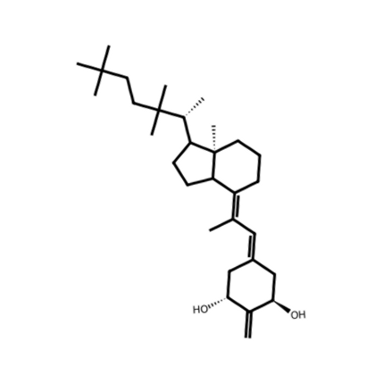 C=C1[C@H](O)CC(=C/C(C)=C2\CCC[C@@]3(C)C2CCC3[C@@H](C)C(C)(C)CCC(C)(C)C)C[C@H]1O